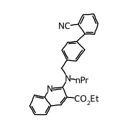 CCCN(Cc1ccc(-c2ccccc2C#N)cc1)c1nc2ccccc2cc1C(=O)OCC